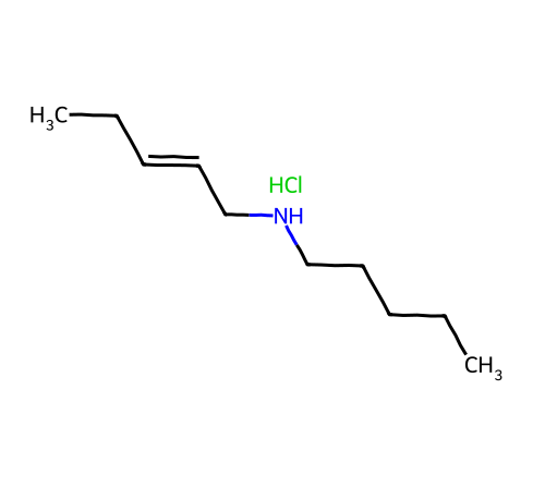 CCC=CCNCCCCC.Cl